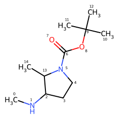 CNC1CCN(C(=O)OC(C)(C)C)C1C